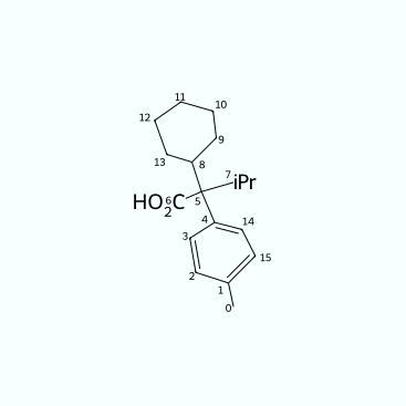 Cc1ccc(C(C(=O)O)(C(C)C)C2CCCCC2)cc1